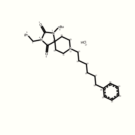 CCCCN1C(=O)N(CC(C)C)C(=O)C12CCN(CCCCCCc1ccccc1)CC2.Cl